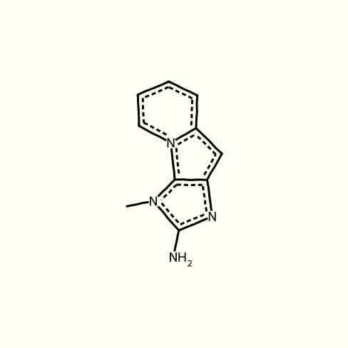 Cn1c(N)nc2cc3ccccn3c21